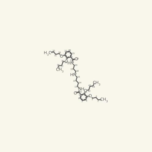 CCCCOc1cccc(C(=O)NCCCCNCCCNC(=O)c2cccc(OCCCC)c2OCCCC)c1OCCCC